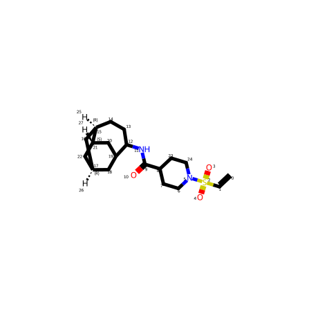 C=CS(=O)(=O)N1CCC(C(=O)NC2CC[C@@H]3C[C@H]4CC2C[C@@H]3C4)CC1